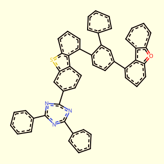 c1ccc(-c2nc(-c3ccccc3)nc(-c3ccc4c(c3)sc3cccc(-c5ccc(-c6cccc7oc8ccccc8c67)cc5-c5ccccc5)c34)n2)cc1